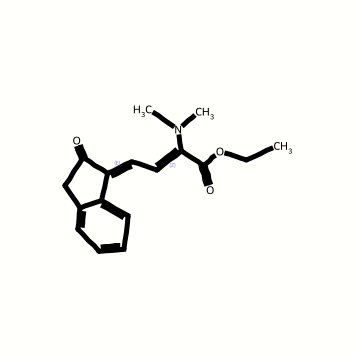 CCOC(=O)/C(=C/C=C1/C(=O)Cc2ccccc21)N(C)C